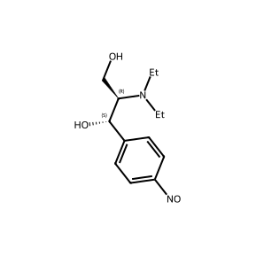 CCN(CC)[C@H](CO)[C@@H](O)c1ccc(N=O)cc1